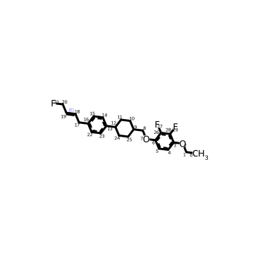 CCOc1ccc(OCC2CCC(c3ccc(C/C=C/CF)cc3)CC2)c(F)c1F